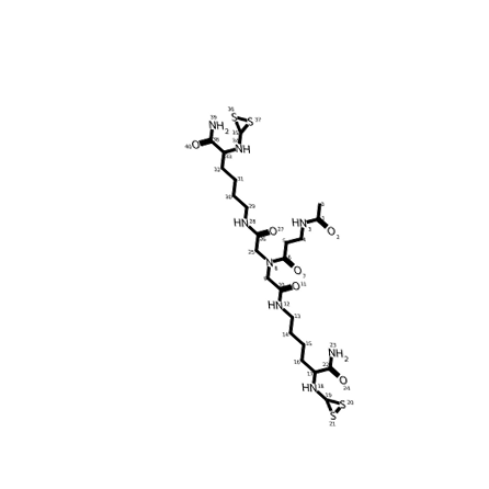 CC(=O)NCCC(=O)N(CC(=O)NCCCCC(NC1SS1)C(N)=O)CC(=O)NCCCCC(NC1SS1)C(N)=O